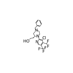 OCC[C@H]1CN(Cc2ccccc2)CCN1c1ncc(C(F)(F)F)c(C(F)F)c1Cl